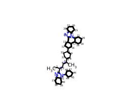 CC/C(=C\C=C(/C)C1=CC=C(c2ccc3c(c2)c2ccccc2n2c4ccccc4nc32)CC1)c1nc2ccccc2n1-c1ccccc1